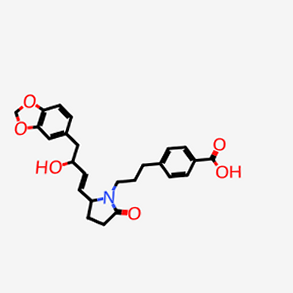 O=C(O)c1ccc(CCCN2C(=O)CCC2/C=C/C(O)Cc2ccc3c(c2)OCO3)cc1